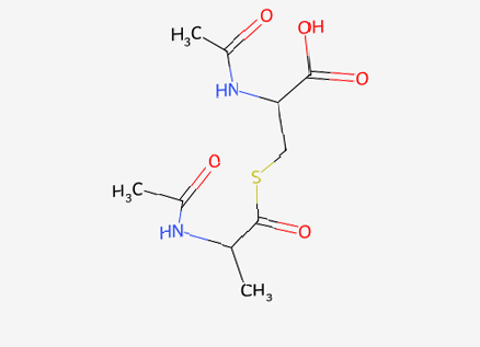 CC(=O)NC(C)C(=O)SCC(NC(C)=O)C(=O)O